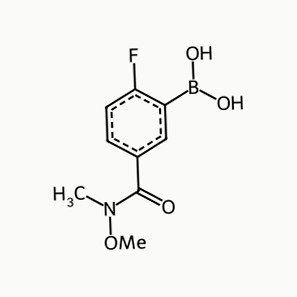 CON(C)C(=O)c1ccc(F)c(B(O)O)c1